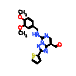 COc1ccc(CNc2ncc(C=O)c3nc(-c4cccs4)nn23)cc1OC